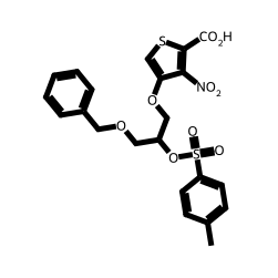 Cc1ccc(S(=O)(=O)OC(COCc2ccccc2)COc2csc(C(=O)O)c2[N+](=O)[O-])cc1